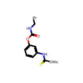 COC(=S)Nc1cccc(OC(=O)NCC(C)C)c1